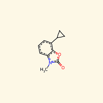 Cn1c(=O)oc2c(C3CC3)cccc21